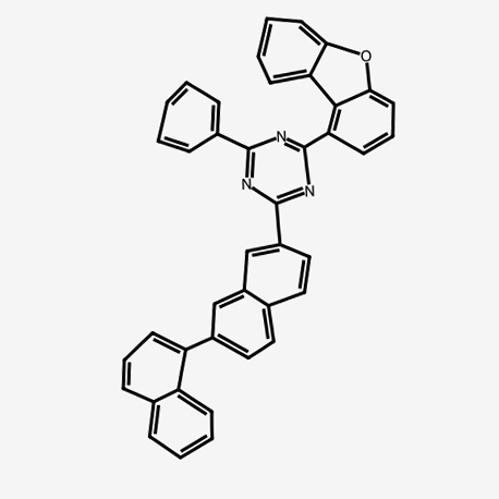 c1ccc(-c2nc(-c3ccc4ccc(-c5cccc6ccccc56)cc4c3)nc(-c3cccc4oc5ccccc5c34)n2)cc1